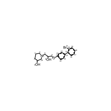 OC1CCCN(CC(O)COc2ccc(-c3ccccc3Br)cc2)C1